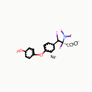 O=C([O-])[C@](I)(C(I)c1ccc(Oc2ccc(O)cc2)cc1)N(I)I.[Na+]